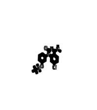 CN(C)c1nc(=O)n(-c2cccc(O[Si](C)(C)C(C)(C)C)c2)c2cc(Cl)ccc12